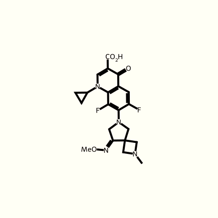 CO/N=C1\CN(c2c(F)cc3c(=O)c(C(=O)O)cn(C4CC4)c3c2F)CC12CN(C)C2